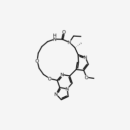 CCN1C(=O)NCCCOCCOc2nc(cn3ccnc23)-c2cc(ncc2OC)[C@H]1C